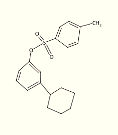 Cc1ccc(S(=O)(=O)Oc2cccc(C3CCCCC3)c2)cc1